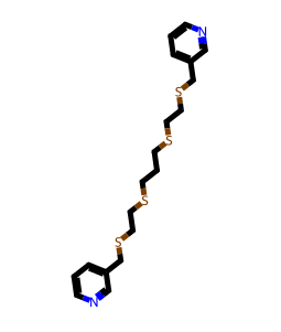 c1cncc(CSCCSCCCSCCSCc2cccnc2)c1